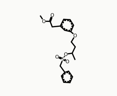 COC(=O)Cc1cccc(OCCC(C)OS(=O)(=O)Cc2ccccc2)c1